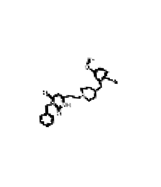 CC(C)Oc1ccc(Br)c(CC2CCN(CCc3cc(=O)n(Cc4ccccc4)c(=O)[nH]3)CC2)c1